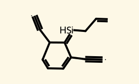 [C]#CC1=CC=CC(C#[C])C1=[SiH]CC=C